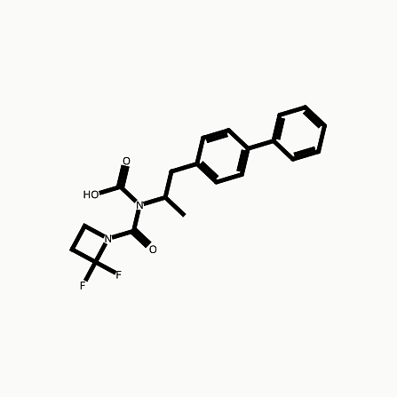 CC(Cc1ccc(-c2ccccc2)cc1)N(C(=O)O)C(=O)N1CCC1(F)F